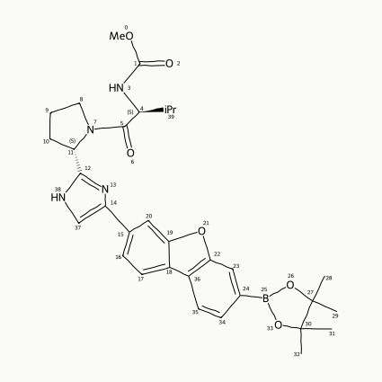 COC(=O)N[C@H](C(=O)N1CCC[C@H]1c1nc(-c2ccc3c(c2)oc2cc(B4OC(C)(C)C(C)(C)O4)ccc23)c[nH]1)C(C)C